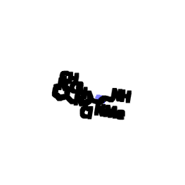 CN/C(=C\C=N)c1cnn(Cc2cccn(C)c2=O)c1Cl